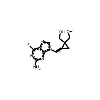 Nc1nc(F)c2ncn(/C=C3/CC3(CO)CO)c2n1